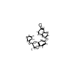 C[C@@H](Oc1ccc(Oc2cnc3cc(Cl)ccc3n2)cc1)C(=O)Oc1cccnc1